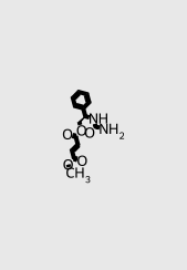 COC(=O)/C=C/C(=O)OC[C@H](NC(N)=O)c1ccccc1